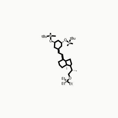 CC[Si](CC)(CC)OC[C@@H](C)C1CCC2/C(=C/C=C3C[C@@H](O[Si](C)(C)C(C)(C)C)C[C@H](O[Si](C)(C)C(C)(C)C)C3)CCC[C@@]21C